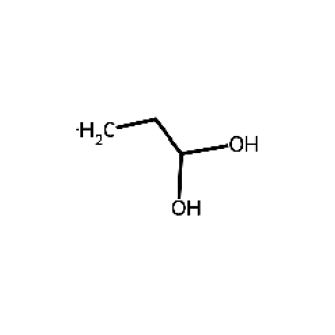 [CH2]CC(O)O